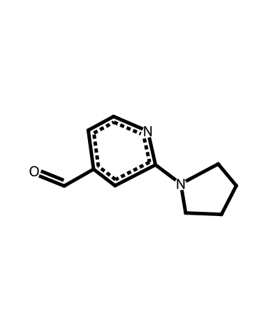 O=Cc1ccnc(N2CCCC2)c1